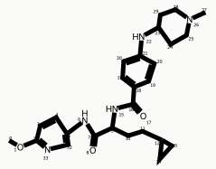 COc1ccc(NC(=O)C(CCC2CC2)NC(=O)c2ccc(NC3CCN(C)CC3)cc2)cn1